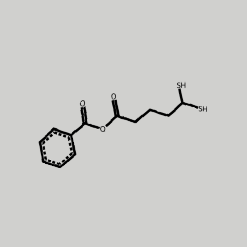 O=C(CCCC(S)S)OC(=O)c1ccccc1